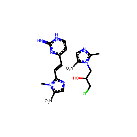 Cc1ncc([N+](=O)[O-])n1CC(O)CCl.Cn1c([N+](=O)[O-])cnc1/C=C/c1cc[nH]c(=N)n1